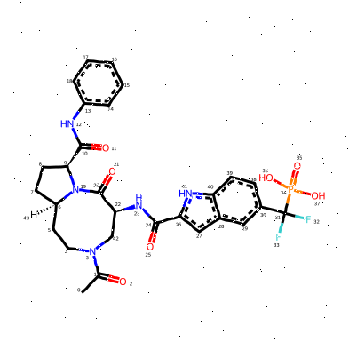 CC(=O)N1CC[C@H]2CC[C@@H](C(=O)Nc3ccccc3)N2C(=O)[C@@H](NC(=O)c2cc3cc(C(F)(F)P(=O)(O)O)ccc3[nH]2)C1